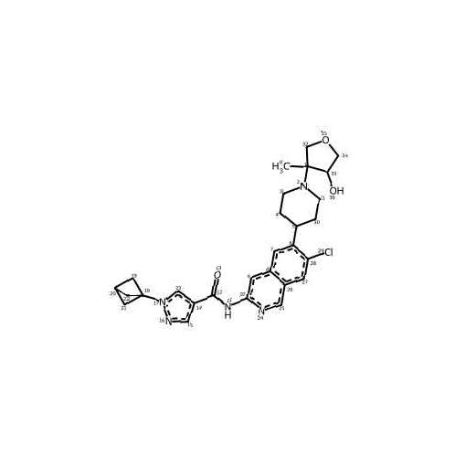 CC1(N2CCC(c3cc4cc(NC(=O)c5cnn(C67CC(C6)C7)c5)ncc4cc3Cl)CC2)COCC1O